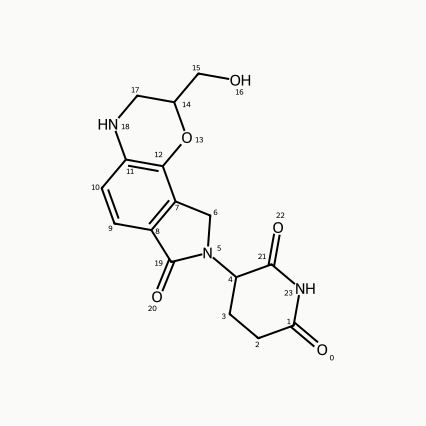 O=C1CCC(N2Cc3c(ccc4c3OC(CO)CN4)C2=O)C(=O)N1